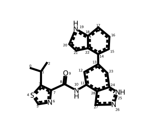 CC(C)c1scnc1C(=O)Nc1cc(-c2cccc3[nH]ccc23)cc2[nH]ncc12